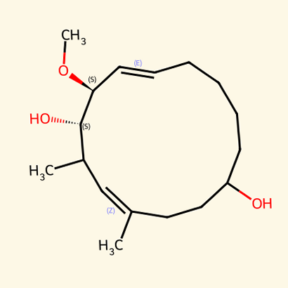 CO[C@H]1/C=C/CCCCC(O)CC/C(C)=C\C(C)[C@@H]1O